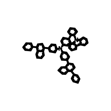 c1ccc(-c2ccc(-c3ccc(N(c4ccc(-c5ccccc5-n5c6ccccc6c6ccccc65)cc4)c4ccc(-c5ccc(-c6ccccc6)c6ccccc56)cc4)cc3)c3ccccc23)cc1